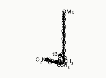 COCCOCCOCCOCCOCCOCCOCCOCCOCCOCCOCCSC[C@H](NC(=O)OC(C)(C)C)C(=O)N[C@@H](C)C(=O)N[C@@H](C)C(=O)Nc1ccc(COC(=O)Oc2ccc([N+](=O)[O-])cc2)cc1